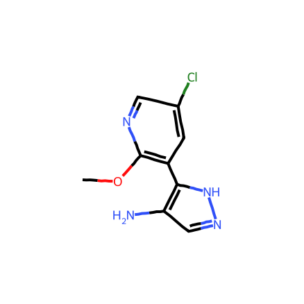 COc1ncc(Cl)cc1-c1[nH]ncc1N